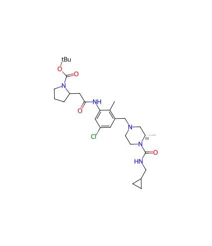 Cc1c(CN2CCN(C(=O)NCC3CC3)[C@@H](C)C2)cc(Cl)cc1NC(=O)CC1CCCN1C(=O)OC(C)(C)C